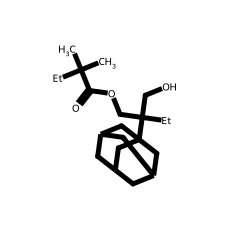 CCC(C)(C)C(=O)OCC(CC)(CO)C12CC3CC(CC(C3)C1)C2